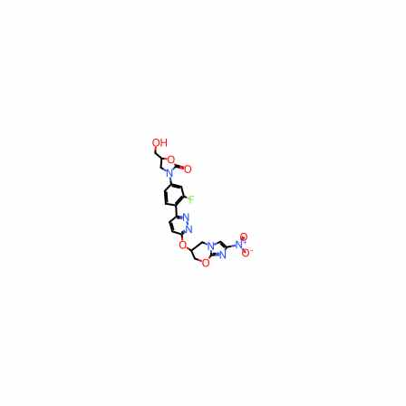 O=C1OC(CO)CN1c1ccc(-c2ccc(OC3COc4nc([N+](=O)[O-])cn4C3)nn2)c(F)c1